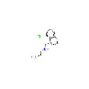 C=CCNCc1cccc2ccccc12.Cl